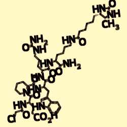 C[C@H]1NC(=O)N[C@H]1CCCCCC(=O)NCCCCC(NC(=O)C(CCCNC(N)=O)NC(=O)C(Cc1c[nH]c2ccccc12)NC(=O)C1CCCCN1C(=O)C(CCC(=O)O)NC(=O)CCl)C(N)=O